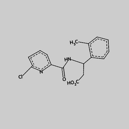 Cc1ccccc1C(CC(=O)O)NC(=O)c1cccc(Cl)n1